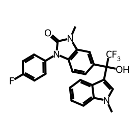 Cn1cc(C(O)(c2ccc3c(c2)n(C)c(=O)n3-c2ccc(F)cc2)C(F)(F)F)c2ccccc21